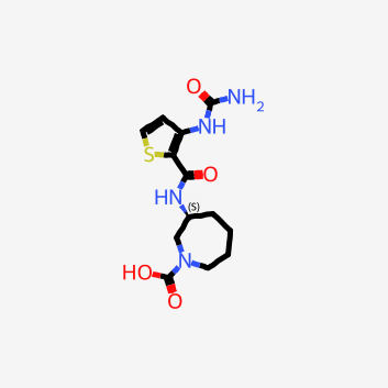 NC(=O)Nc1ccsc1C(=O)N[C@H]1CCCCN(C(=O)O)C1